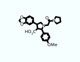 COc1ccc(C2C(C(=O)O)C(c3ccc4c(c3)OCO4)CN2CC(=O)N2CCCC2)cc1